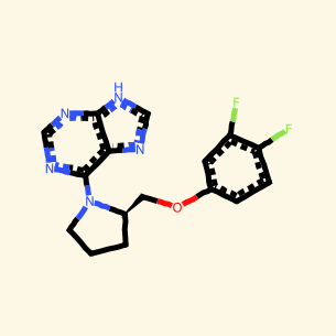 Fc1ccc(OC[C@H]2CCCN2c2ncnc3[nH]cnc23)cc1F